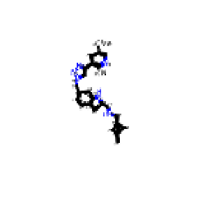 COc1cnc(C#N)c(-c2cn(Cc3ccc4cc(CNCC56CC(C)(C5)C6)[nH]c4c3)nn2)c1